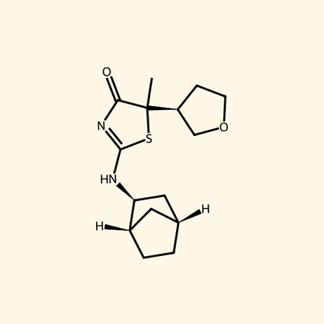 CC1([C@H]2CCOC2)SC(N[C@H]2C[C@@H]3CC[C@H]2C3)=NC1=O